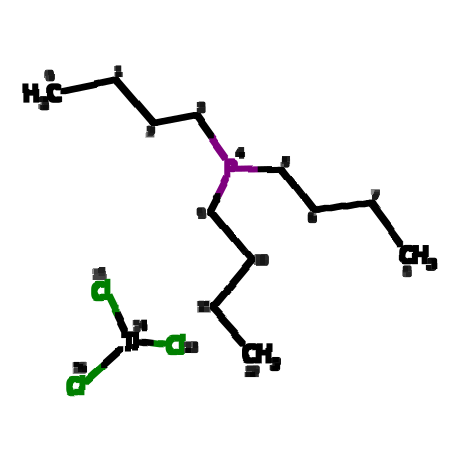 CCCCP(CCCC)CCCC.[Cl][Ti]([Cl])[Cl]